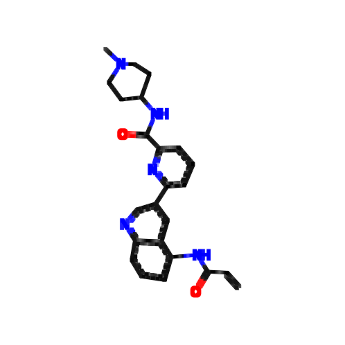 C=CC(=O)Nc1cccc2ncc(-c3cccc(C(=O)NC4CCN(C)CC4)n3)cc12